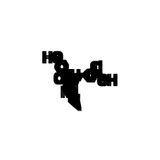 O=C(N[C@H]1CC[C@H](O)CC1)c1cnc(N2CC3CC3C2)nc1OCCc1ccc(CO)c(Cl)c1